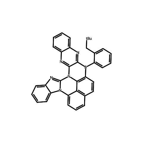 CC(C)(C)Cc1ccccc1B1c2nc3ccccc3nc2-n2c3c1ccc1cccc(c13)n1c3ccccc3nc21